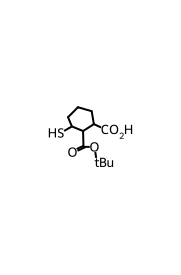 CC(C)(C)OC(=O)C1C(S)CCCC1C(=O)O